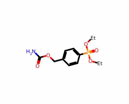 CCOP(=O)(OCC)c1ccc(COC(N)=O)cc1